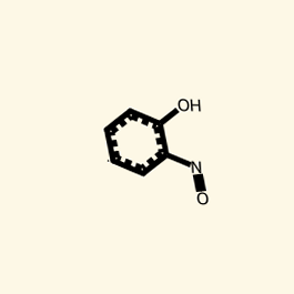 O=Nc1c[c]ccc1O